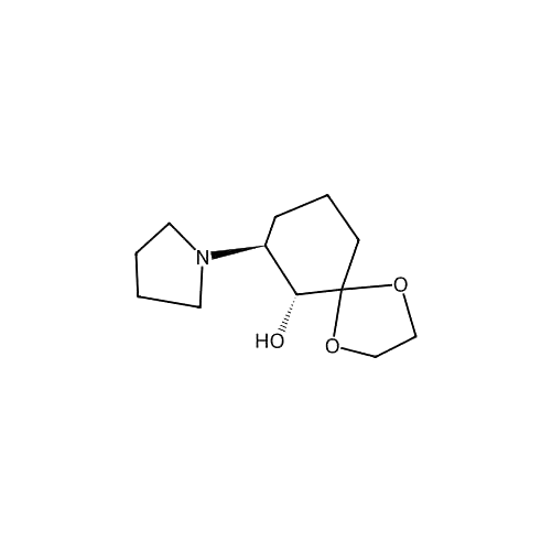 O[C@@H]1[C@@H](N2CCCC2)CCCC12OCCO2